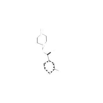 Cc1cccc(C(=O)ON2CCNCC2)c1